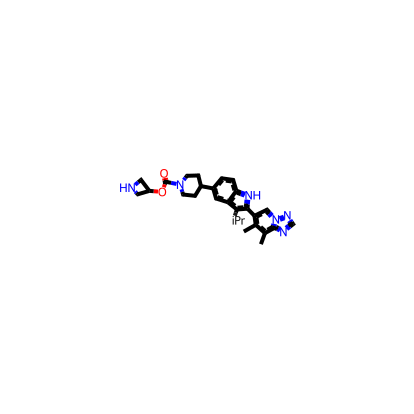 Cc1c(-c2[nH]c3ccc(C4CCN(C(=O)OC5CNC5)CC4)cc3c2C(C)C)cn2ncnc2c1C